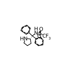 O=S(=O)(NC(c1ccccc1)(c1ccccc1)[C@@H]1CCCN1)C(F)(F)F